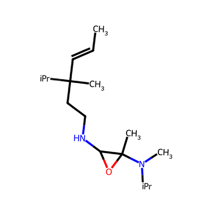 CC=CC(C)(CCNC1OC1(C)N(C)C(C)C)C(C)C